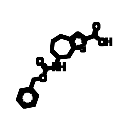 O=C(NC1CCCc2cc(C(=O)O)sc2C1)OCc1ccccc1